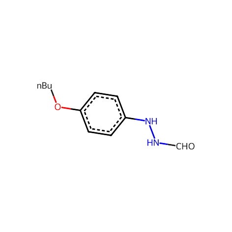 CCCCOc1ccc(NNC=O)cc1